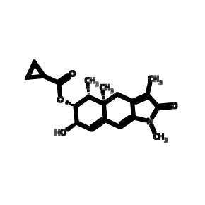 CC1=C2C[C@@]3(C)C(=C[C@@H](O)[C@H](OC(=O)C4CC4)[C@@H]3C)C=C2N(C)C1=O